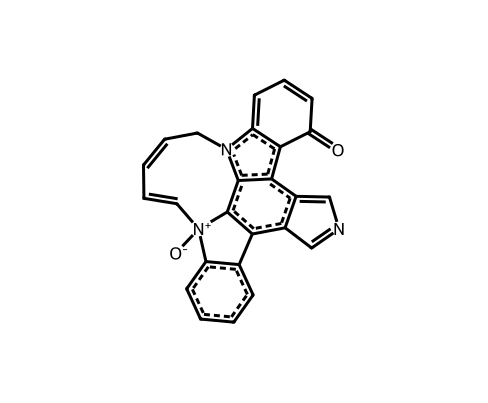 O=C1C=CC=c2c1c1c3c(c4c5c1n2C/C=C\C=C\[N+]5([O-])c1ccccc1-4)C=NC=3